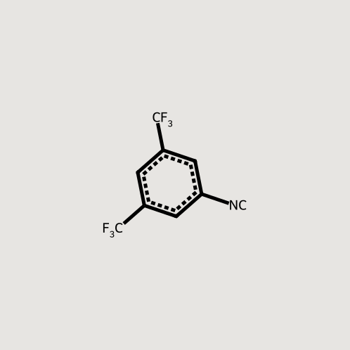 [C-]#[N+]c1cc(C(F)(F)F)cc(C(F)(F)F)c1